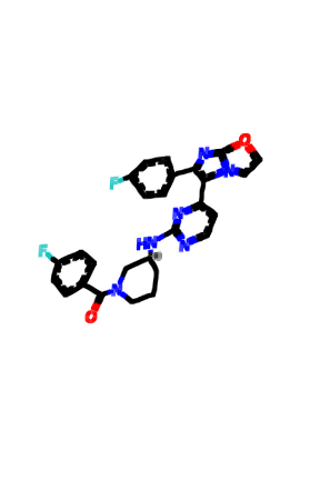 O=C(c1ccc(F)cc1)N1CCC[C@@H](Nc2nccc(-c3c(-c4ccc(F)cc4)nc4occn34)n2)C1